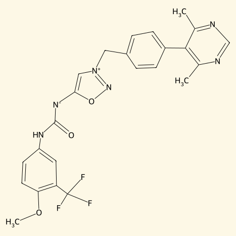 COc1ccc(NC(=O)[N-]c2c[n+](Cc3ccc(-c4c(C)ncnc4C)cc3)no2)cc1C(F)(F)F